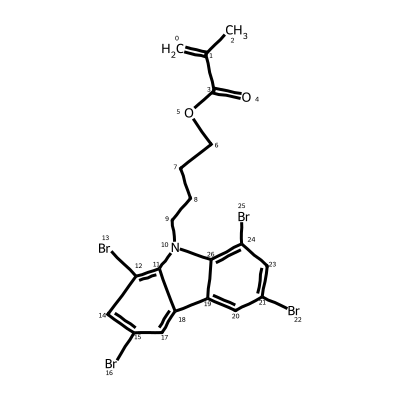 C=C(C)C(=O)OCCCCn1c2c(Br)cc(Br)cc2c2cc(Br)cc(Br)c21